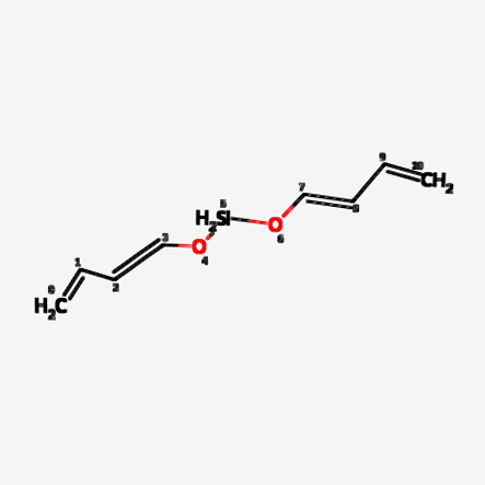 C=CC=CO[SiH2]OC=CC=C